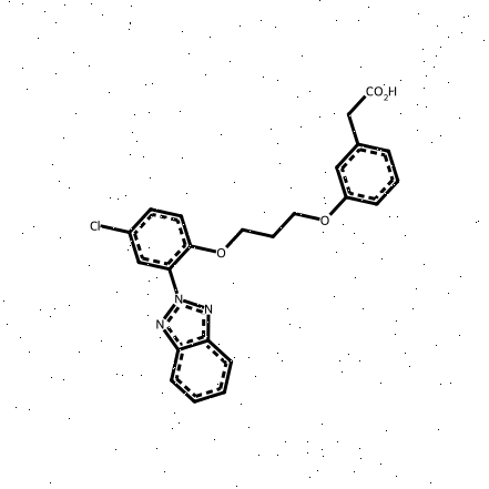 O=C(O)Cc1cccc(OCCCOc2ccc(Cl)cc2-n2nc3ccccc3n2)c1